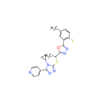 Cc1ccc(F)c(-c2nnc(C(C)Sc3nnc(-c4ccncc4)n3C3CC3)o2)c1